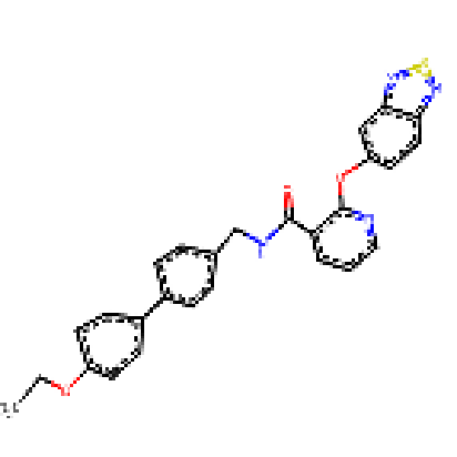 O=C(O)COc1ccc(-c2ccc(CNC(=O)c3cccnc3Oc3ccc4nsnc4c3)cc2)cc1